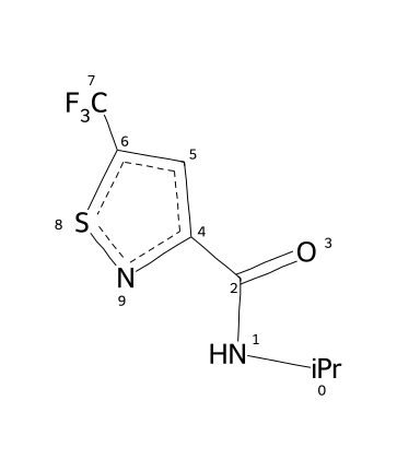 CC(C)NC(=O)c1cc(C(F)(F)F)sn1